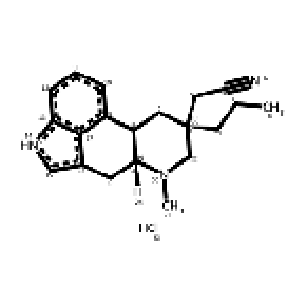 CCC[C@]1(CC#N)CC2c3cccc4[nH]cc(c34)C[C@H]2N(C)C1.Cl